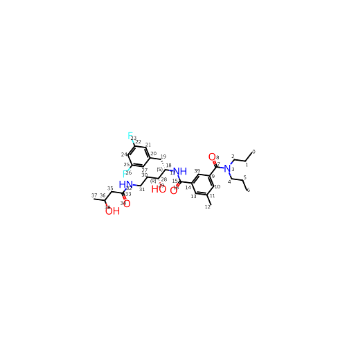 CCCN(CCC)C(=O)c1cc(C)cc(C(=O)N[C@@H](Cc2cc(F)cc(F)c2)[C@H](O)CCNC(=O)CC(C)O)c1